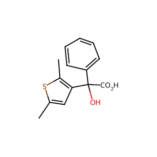 Cc1cc(C(O)(C(=O)O)c2ccccc2)c(C)s1